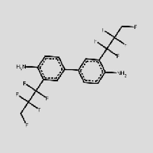 Nc1ccc(-c2ccc(N)c(C(F)(F)C(F)(F)CF)c2)cc1C(F)(F)C(F)(F)CF